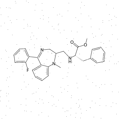 COC(=O)[C@H](Cc1ccccc1)NCC1CN=C(c2ccccc2F)c2ccccc2N1C